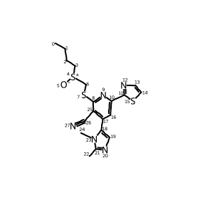 CCCC[S+]([O-])CSc1nc(-c2nccs2)cc(-c2cnc(C)n2C)c1C#N